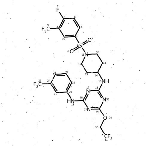 O=S(=O)(c1ccc(F)c(C(F)(F)F)c1)N1CCC(Nc2nc(Nc3cccc(C(F)(F)F)c3)nc(OCC(F)(F)F)n2)CC1